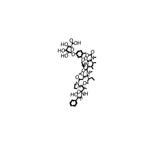 C#CCOc1cc(OC2O[C@H](C(=O)O)[C@@H](O)[C@H](O)[C@H]2O)ccc1COC(=O)N(C)[C@H](C(=O)N[C@H](C(=O)N(C)[C@@H](C(C)CC)[C@@H](CC(=O)N1CCC[C@H]1[C@H](OC)[C@@H](C)C(=O)N[C@H](C)[C@@H](O)c1ccccc1)OC)C(C)C)C(C)C